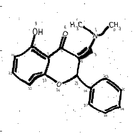 CN(C)C=C1C(=O)c2c(O)cccc2OC1c1ccccc1